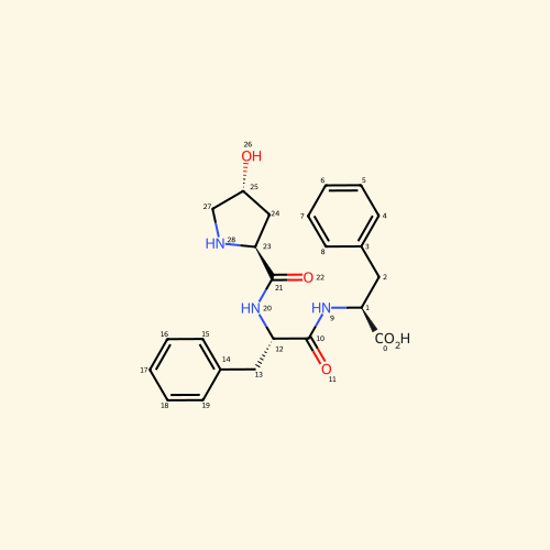 O=C(O)[C@H](Cc1ccccc1)NC(=O)[C@H](Cc1ccccc1)NC(=O)[C@@H]1C[C@@H](O)CN1